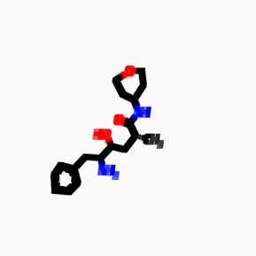 C[C@H](C[C@H](O)[C@@H](N)Cc1ccccc1)C(=O)NC1CCOCC1